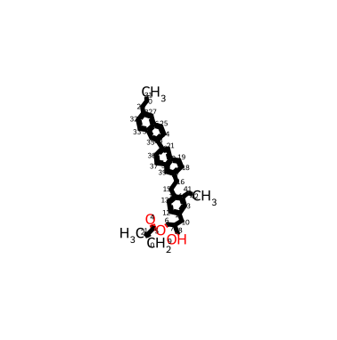 C=C(C)C(=O)OCC(CO)Cc1ccc(CCc2ccc3cc(-c4ccc5cc(CCC)ccc5c4)ccc3c2)c(CC)c1